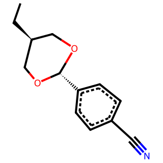 CC[C@H]1CO[C@H](c2ccc(C#N)cc2)OC1